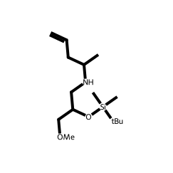 C=CCC(C)NCC(COC)O[Si](C)(C)C(C)(C)C